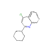 Clc1cc(C2CCCCC2)nc2ccccc12